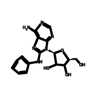 Nc1ncnc2c1nc(Nc1ccccc1)n2[C@@H]1O[C@H](CO)C(O)C1O